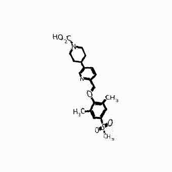 Cc1cc(S(C)(=O)=O)cc(C)c1OCc1ccc(C2CCN(C(=O)O)CC2)cn1